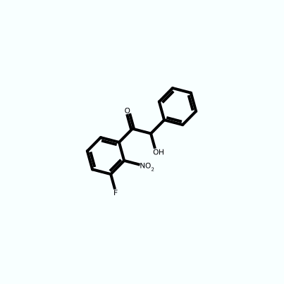 O=C(c1cccc(F)c1[N+](=O)[O-])C(O)c1ccccc1